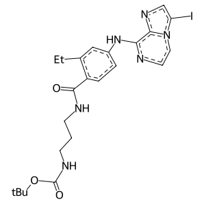 CCc1cc(Nc2nccn3c(I)cnc23)ccc1C(=O)NCCCNC(=O)OC(C)(C)C